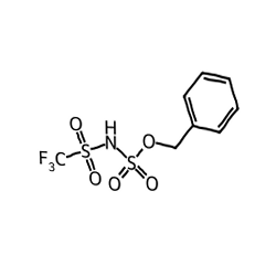 O=S(=O)(NS(=O)(=O)C(F)(F)F)OCc1ccccc1